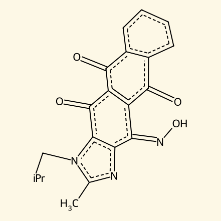 Cc1nc2/c(=N/O)c3c(=O)c4ccccc4c(=O)c=3c(=O)c2n1CC(C)C